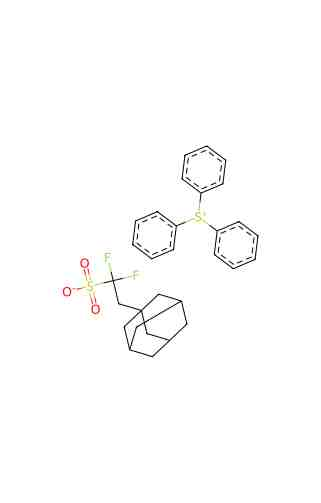 O=S(=O)([O-])C(F)(F)CC12CC3CC(CC(C3)C1)C2.c1ccc([S+](c2ccccc2)c2ccccc2)cc1